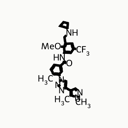 COc1c(CNC2CCC2)cc(C(F)(F)F)cc1NC(=O)c1ccc(C)c(-n2cc(-c3cnn(C)c3C)nn2)c1